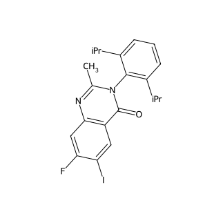 Cc1nc2cc(F)c(I)cc2c(=O)n1-c1c(C(C)C)cccc1C(C)C